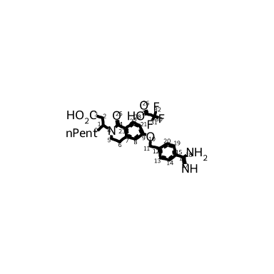 CCCCCC(CC(=O)O)N1CCc2cc(OCc3ccc(C(=N)N)cc3)ccc2C1=O.O=C(O)C(F)(F)F